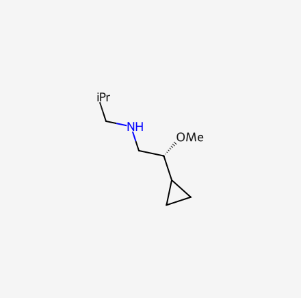 CO[C@@H](CNCC(C)C)C1CC1